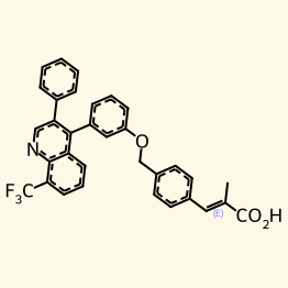 C/C(=C\c1ccc(COc2cccc(-c3c(-c4ccccc4)cnc4c(C(F)(F)F)cccc34)c2)cc1)C(=O)O